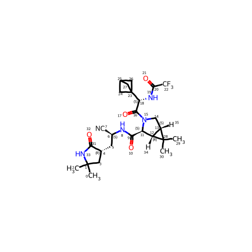 CC1(C)C[C@@H](C[C@@H](C#N)NC(=O)[C@@H]2[C@@H]3[C@H](CN2C(=O)[C@@H](NC(=O)C(F)(F)F)C24CC(C2)C4)C3(C)C)C(=O)N1